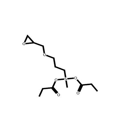 CCC(=O)O[Si](C)(CCCOCC1CO1)OC(=O)CC